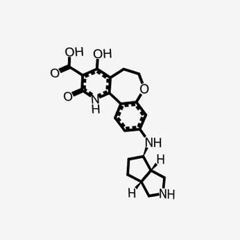 O=C(O)c1c(O)c2c([nH]c1=O)-c1ccc(N[C@@H]3CC[C@H]4CNC[C@H]43)cc1OCC2